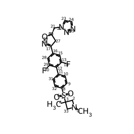 CN1CC(C)(S(=O)(=O)c2ccc(-c3c(F)cc(C4=NO[C@@H](Cn5ccnn5)C4)cc3F)cc2)C1